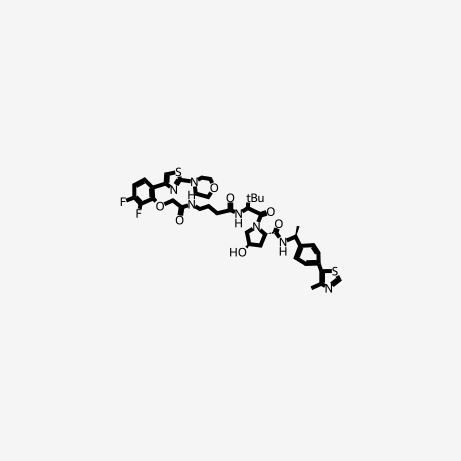 Cc1ncsc1-c1ccc([C@H](C)NC(=O)[C@@H]2C[C@@H](O)CN2C(=O)C(NC(=O)CCCNC(=O)COc2c(-c3csc(N4CCOCC4)n3)ccc(F)c2F)C(C)(C)C)cc1